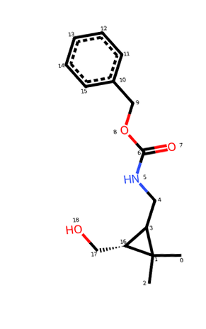 CC1(C)C(CNC(=O)OCc2ccccc2)[C@H]1CO